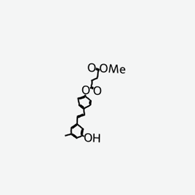 COC(=O)CCC(=O)Oc1ccc(/C=C/c2cc(C)cc(O)c2)cc1